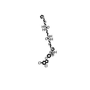 O=C(NCCCCNC(=O)NCCOCCN1CC[C@H](NS(=O)(=O)c2ccc(O[C@@H]3CCc4c(Cl)cc(Cl)cc43)cc2)C1)NCCOCCN1CCCC1